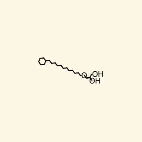 OC/C(O)=C\OCCCCCCCCCCCCC1CCCCC1